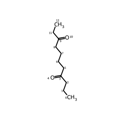 CCCC(=O)CCCCC(=O)CC